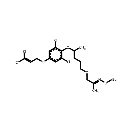 CCC(C)ON=C(C)COCCCC(C)Oc1c(Cl)cc(OCC=C(Cl)Cl)cc1Cl